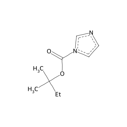 CCC(C)(C)OC(=O)n1ccnc1